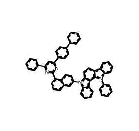 c1ccc(-c2ccc(-c3cc(-c4ccccc4)nc(-c4cccc5cc(-n6c7ccccc7c7c6ccc6c8ccccc8n(-c8ccccc8)c67)ccc45)n3)cc2)cc1